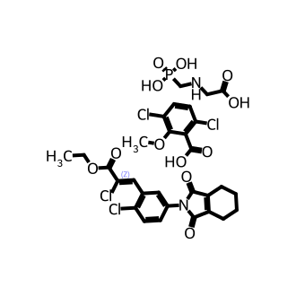 CCOC(=O)/C(Cl)=C/c1cc(N2C(=O)C3=C(CCCC3)C2=O)ccc1Cl.COc1c(Cl)ccc(Cl)c1C(=O)O.O=C(O)CNCP(=O)(O)O